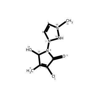 CC1=C(Cl)C(=O)N(N2C=CN(C)N2)C1O